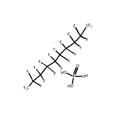 FC(F)(F)C(F)(F)C(F)(F)C(F)(F)C(F)(F)C(F)(F)C(F)(F)C(F)(F)C(F)(F)C(F)(F)F.O=P(O)(O)O